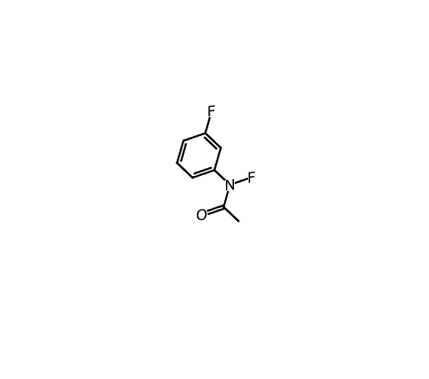 CC(=O)N(F)c1cccc(F)c1